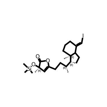 C[C@H](CCC1=C[C@@](C)(O[Si](C)(C)C)C(=O)O1)[C@H]1CCC2C(=CI)CCC[C@@]21C